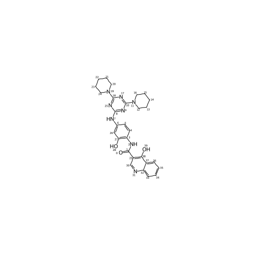 O=C(Nc1ccc(Nc2nc(N3CCCCC3)nc(N3CCCCC3)n2)cc1O)c1cnc2ccccc2c1O